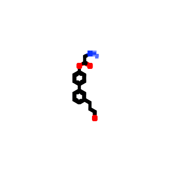 NCC(=O)Oc1ccc(-c2cccc(CCC=O)c2)cc1